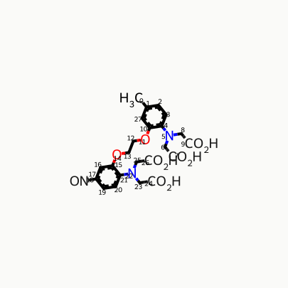 Cc1ccc(N(CC(=O)O)CC(=O)O)c(OCCOc2cc(N=O)ccc2N(CC(=O)O)CC(=O)O)c1